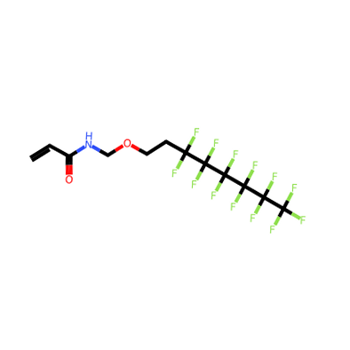 C=CC(=O)NCOCCC(F)(F)C(F)(F)C(F)(F)C(F)(F)C(F)(F)C(F)(F)F